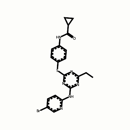 CCc1nc(Nc2ccc(Br)cn2)nc(Sc2ccc(NC(=O)C3CC3)cc2)n1